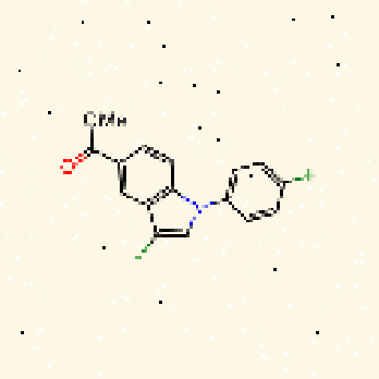 COC(=O)c1ccc2c(c1)c(F)cn2-c1ccc(F)cc1